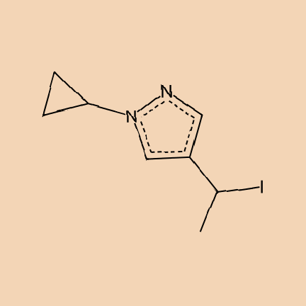 CC(I)c1cnn(C2CC2)c1